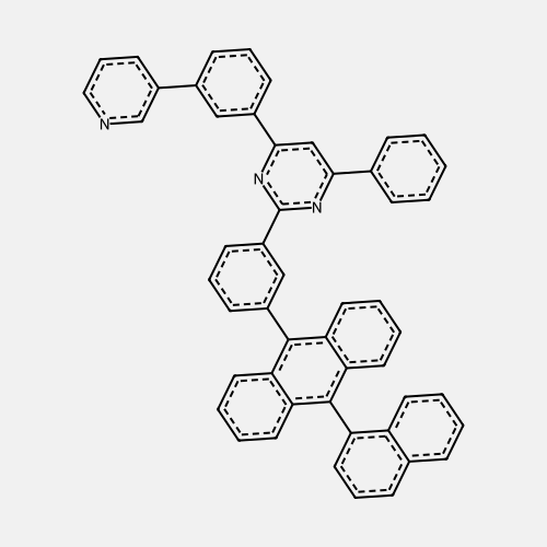 c1ccc(-c2cc(-c3cccc(-c4cccnc4)c3)nc(-c3cccc(-c4c5ccccc5c(-c5cccc6ccccc56)c5ccccc45)c3)n2)cc1